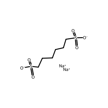 O=S(=O)([O-])CCCCCCS(=O)(=O)[O-].[Na+].[Na+]